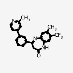 Cc1cc(-c2cccc(C3=Nc4cc(C)c(C(F)(F)F)cc4NC(=O)C3)c2)ccn1